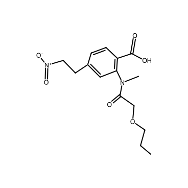 CCCOCC(=O)N(C)c1cc(CC[N+](=O)[O-])ccc1C(=O)O